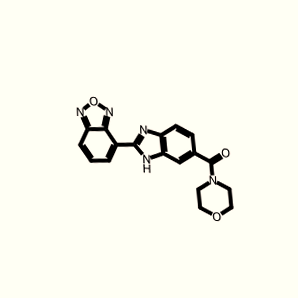 O=C(c1ccc2nc(-c3cccc4nonc34)[nH]c2c1)N1CCOCC1